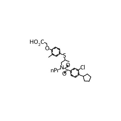 CCCN(CC(C)Sc1ccc(OCC(=O)O)c(C)c1)S(=O)(=O)c1ccc(C2CCCC2)c(Cl)c1